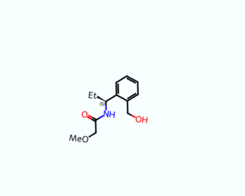 CC[C@H](NC(=O)COC)c1ccccc1CO